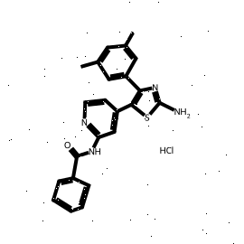 Cc1cc(C)cc(-c2nc(N)sc2-c2ccnc(NC(=O)c3ccccc3)c2)c1.Cl